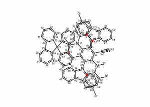 C=Cc1ccccc1N(c1c(-c2cccc3c2-c2ccccc2C32c3ncccc3-c3cccnc32)c(-n2c3ccccc3c3cc(C)ccc32)c(N(C)c2ccccc2C)c(C#N)c1-n1c2ccccc2c2cc(C)ccc21)C(C)C(C)C